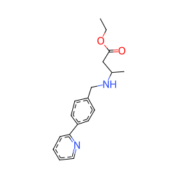 CCOC(=O)CC(C)NCc1ccc(-c2ccccn2)cc1